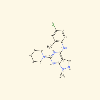 Cc1cc(Cl)ccc1Nc1nc(N2CCCCC2)nc2c1cnn2C